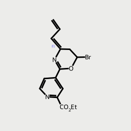 C=C/C=C1\CC(Br)OC(c2ccnc(C(=O)OCC)c2)=N1